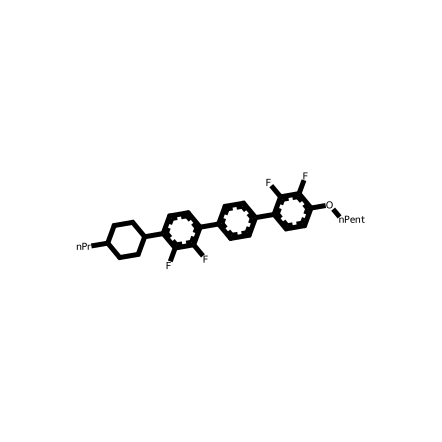 CCCCCOc1ccc(-c2ccc(-c3ccc(C4CCC(CCC)CC4)c(F)c3F)cc2)c(F)c1F